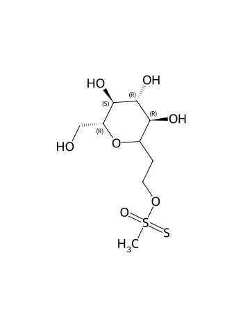 CS(=O)(=S)OCCC1O[C@H](CO)[C@@H](O)[C@H](O)[C@H]1O